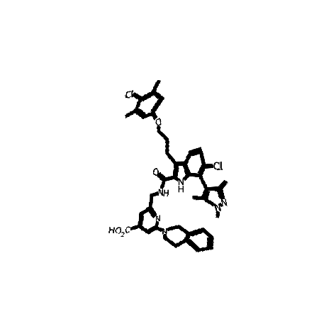 Cc1cc(OCCCc2c(C(=O)NCc3cc(C(=O)O)cc(N4CCc5ccccc5C4)n3)[nH]c3c(-c4c(C)nn(C)c4C)c(Cl)ccc23)cc(C)c1Cl